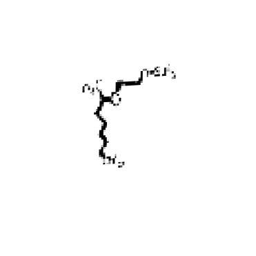 C=CCCCCC(C)OCCO[SiH3]